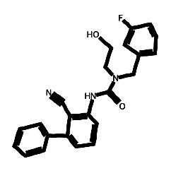 N#Cc1c(NC(=O)N(CCO)Cc2cccc(F)c2)cccc1-c1ccccc1